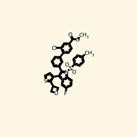 COC(=O)c1ccc(-c2cccc(-c3c(-c4ccsc4C4COC4)c4cc(F)ccc4n3S(=O)(=O)c3ccc(C)cc3)c2)c(Cl)c1